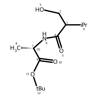 CC(C)C(CO)C(=O)N[C@@H](C)C(=O)OC(C)(C)C